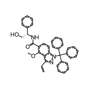 C=Cc1nn(C(c2ccccc2)(c2ccccc2)c2ccccc2)c2ccc(C(=O)N[C@H](CO)c3ccccc3)c(OC)c12